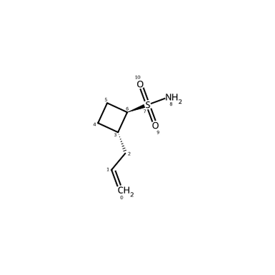 C=CC[C@@H]1CC[C@H]1S(N)(=O)=O